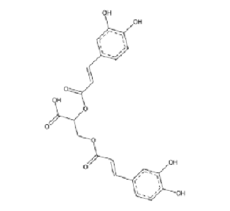 O=C(C=Cc1ccc(O)c(O)c1)OCC(OC(=O)C=Cc1ccc(O)c(O)c1)C(=O)O